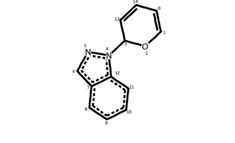 C1=COC(n2ncc3ccccc32)C=C1